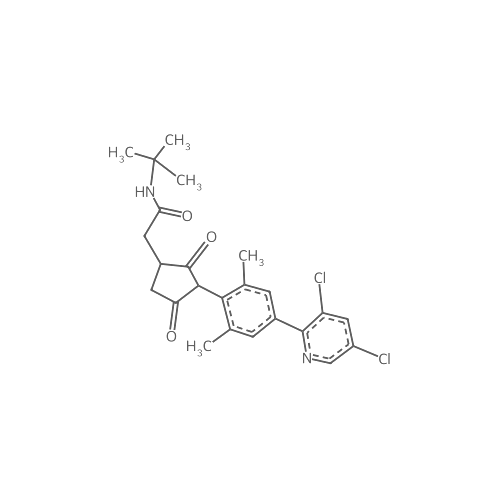 Cc1cc(-c2ncc(Cl)cc2Cl)cc(C)c1C1C(=O)CC(CC(=O)NC(C)(C)C)C1=O